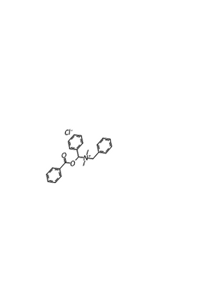 C[N+](C)(Cc1ccccc1)C(OC(=O)c1ccccc1)c1ccccc1.[Cl-]